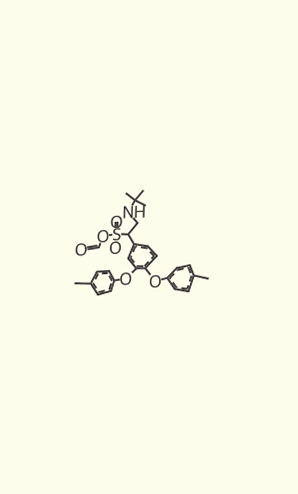 Cc1ccc(Oc2ccc(C(CNC(C)(C)C)S(=O)(=O)OC=O)cc2Oc2ccc(C)cc2)cc1